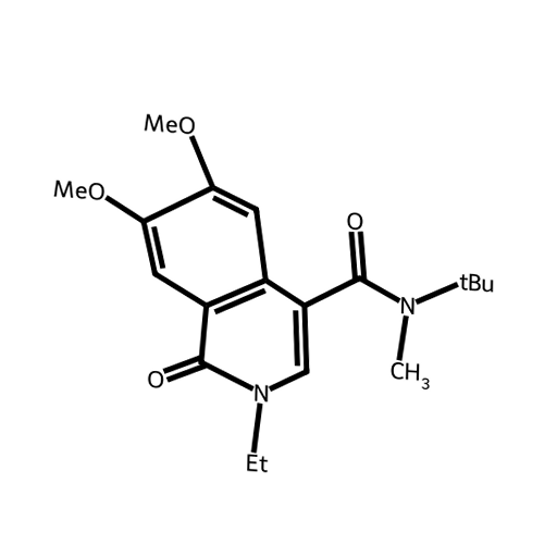 CCn1cc(C(=O)N(C)C(C)(C)C)c2cc(OC)c(OC)cc2c1=O